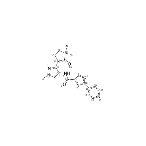 Cn1cc(NC(=O)c2coc(-c3c[c]ncc3)n2)c(N2CCC(C)(C)C2=O)n1